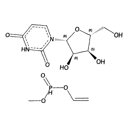 C=CO[PH](=O)OC.O=c1ccn([C@@H]2O[C@H](CO)[C@@H](O)[C@H]2O)c(=O)[nH]1